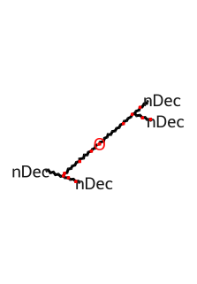 CCCCCCCCCCCCCCCCC(CCCCCCCCCCCCCCCC)CCCCCCCCCCCCCCCCCOCCCCCCCCCCCCCCCCCC(CCCCCCCCCCCCCCCC)CCCCCCCCCCCCCCCC